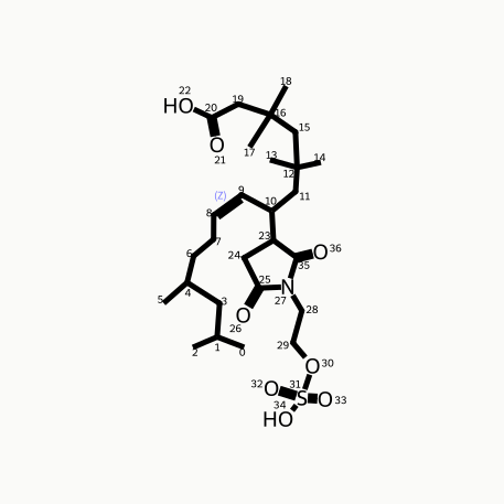 CC(C)CC(C)CC/C=C\C(CC(C)(C)CC(C)(C)CC(=O)O)C1CC(=O)N(CCOS(=O)(=O)O)C1=O